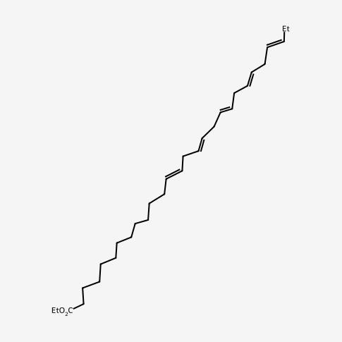 CCC=CCC=CCC=CCC=CCC=CCCCCCCCCCCCC(=O)OCC